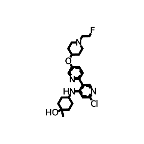 CC1(O)CCC(Nc2cc(Cl)ncc2-c2ccc(OC3CCN(CCF)CC3)cn2)CC1